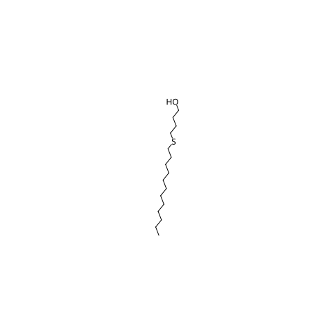 CCCCCCCCCCCCSCCCCO